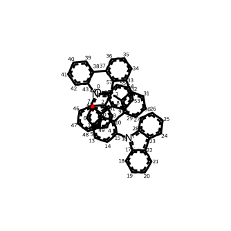 O=P1(c2ccccc2)c2c(-c3ccccc3-n3c4ccccc4c4ccccc43)cccc2-c2cccc(-c3ccccc3-n3c4ccccc4c4ccccc43)c21